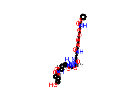 CC(NC(=O)C(NC(=O)C(N)CCCCNC(=O)CCOCCOCCOCCOCCNC(=O)COC1C#CCCCCC1)C(C)C)C(=O)Nc1ccc2c(c1)[C@@]1(C)CCC[C@](C)(C(=O)NC(=O)[C@@]3(C)CCC[C@]4(C)c5cc(O)ccc5CC[C@@H]34)[C@@H]1CC2